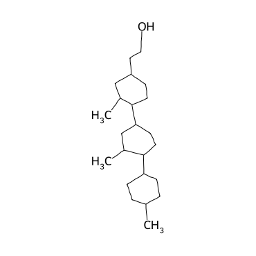 CC1CCC(C2CCC(C3CCC(CCO)CC3C)CC2C)CC1